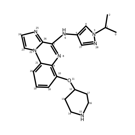 CC(C)n1cc(Nc2nc3c(OC4CCNCC4)cccc3n3ccnc23)cn1